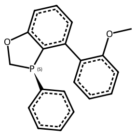 COc1ccccc1-c1cccc2c1[P@@](c1ccccc1)CO2